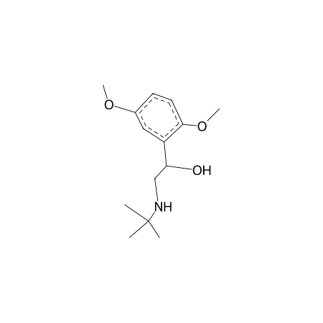 COc1ccc(OC)c(C(O)CNC(C)(C)C)c1